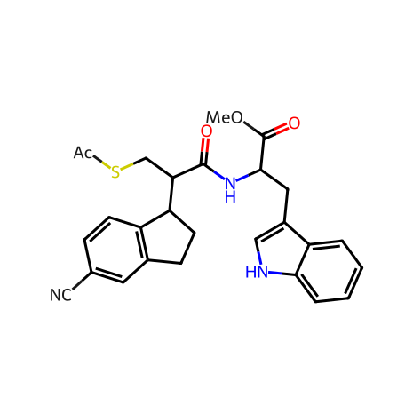 COC(=O)C(Cc1c[nH]c2ccccc12)NC(=O)C(CSC(C)=O)C1CCc2cc(C#N)ccc21